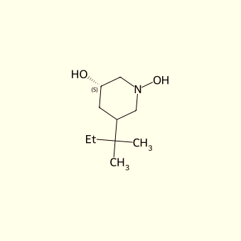 CCC(C)(C)C1C[C@H](O)CN(O)C1